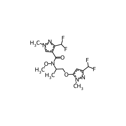 CON(C(=O)c1cn(C)nc1C(F)F)C(C)COc1cc(C(F)F)nn1C